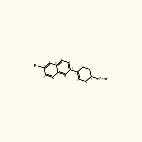 CCCCCC1CC=C(c2ccc3cc(CC)ccc3c2)CC1